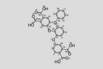 O=C(O)c1ccc(Oc2cccc(Oc3ccccc3)c2Oc2ccc(C(=O)O)c(C(=O)O)c2)cc1C(=O)O